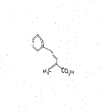 C=C(C=CCc1ccccc1)C(=O)O